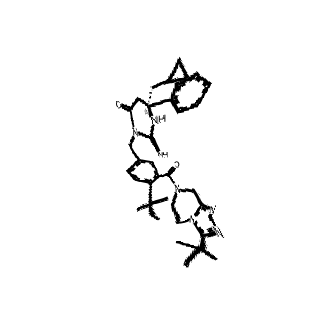 CC(C)(C)c1ccc(CN2C(=N)N[C@](CC3CC3)(c3ccccc3)CC2=O)cc1C(=O)N1CCn2c(nnc2C(C)(C)C)C1